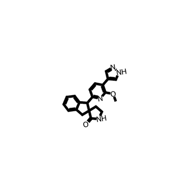 COc1nc(C2c3ccccc3CC23CCNC3=O)ccc1-c1cn[nH]c1